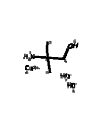 CC(C)(N)CO.[Cu+2].[OH-].[OH-]